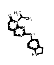 CC(C)n1c(=O)ccc2cnc(Nc3ccc4c(c3)CCN4)nc21